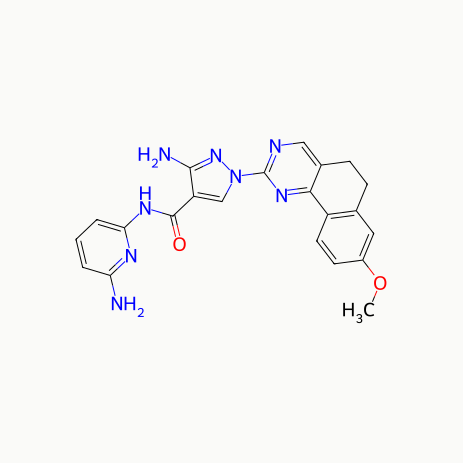 COc1ccc2c(c1)CCc1cnc(-n3cc(C(=O)Nc4cccc(N)n4)c(N)n3)nc1-2